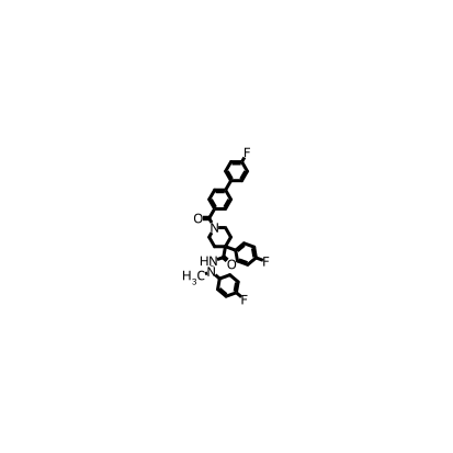 CN(NC(=O)C1(c2ccc(F)cc2)CCN(C(=O)c2ccc(-c3ccc(F)cc3)cc2)CC1)C1C=CC(F)=CC1